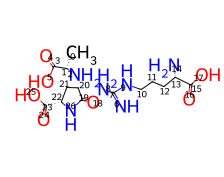 C[C@H](N)C(=O)O.N=C(N)NCCC[C@H](N)C(=O)O.O=C1CC[C@@H](C(=O)O)N1